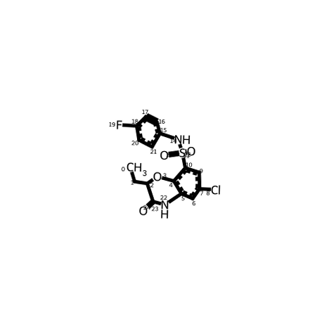 CCC1Oc2c(cc(Cl)cc2S(=O)(=O)Nc2c#cc(F)cc2)NC1=O